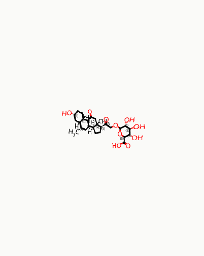 C[C@H]1C[C@@H]2[C@H](C(=O)C[C@]3(C)[C@@H](C(=O)COC4O[C@H](C(=O)O)[C@@H](O)[C@H](O)[C@H]4O)CC[C@@H]23)[C@H]2CC[C@@H](O)C[C@H]21